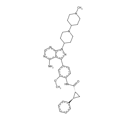 COc1cc(-c2nn(C3CCN(C4CCN(C)CC4)CC3)c3ncnc(N)c23)ccc1NC(=O)[C@@H]1C[C@H]1c1ccccc1